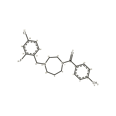 Cc1ccc(C(=O)N2CCCN(Cc3ccc(Cl)cc3F)CC2)cc1